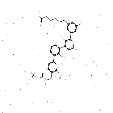 COc1cc(CNC[C@@H](O)CC(=O)O)cc(-c2nccc(-c3cccc(-c4ccc(CN(C)C(=O)OC(C)(C)C)c(OC)n4)c3Cl)c2Cl)c1